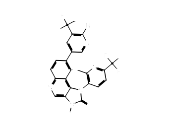 Cn1c(=O)n(-c2ccc(C(F)(F)F)nc2Cl)c2c3cc(-c4cnc(N)c(C(F)(F)F)c4)ccc3ncc21